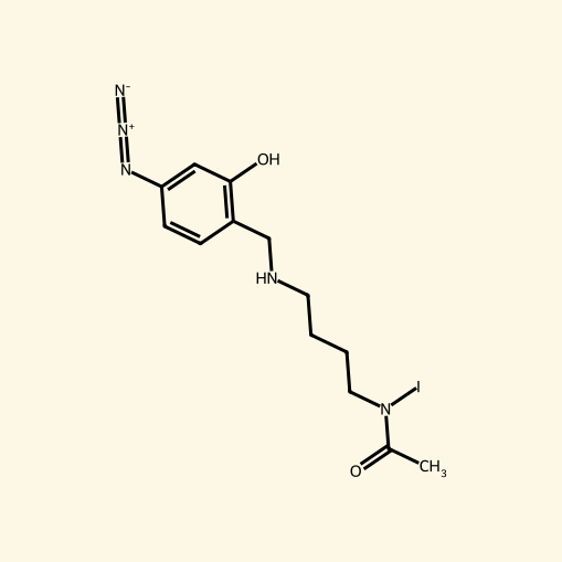 CC(=O)N(I)CCCCNCc1ccc(N=[N+]=[N-])cc1O